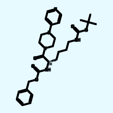 CC(C)(C)OC(=O)NCCCC[C@H](NC(=O)OCc1ccccc1)C(=O)N1CCN(c2ccncc2)CC1